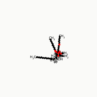 CCCCCCCCCCCCCCCC(=O)N[C@@H](CS)C(=O)N[C@@H](CO)C(=O)N[C@@H](CCCCN)C(=O)N(C(=O)CCCCCCCCCCCCCCC)[C@@](CCCCN)(C(=O)O)C(=O)CCCCCCCCCCCCCCC